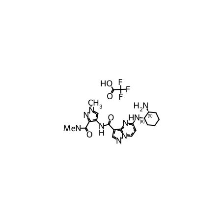 CNC(=O)c1nn(C)cc1NC(=O)c1cnn2ccc(N[C@@H]3CCCC[C@@H]3N)nc12.O=C(O)C(F)(F)F